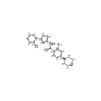 O=C(Nc1nc(-c2ccccc2Cl)cs1)c1ccc(N2CCOCC2)cc1F